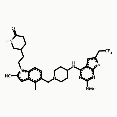 CNc1nc(NC2CCN(Cc3ccc4c(cc(C#N)n4CCC4CCC(=O)NC4)c3C)CC2)c2cc(CC(F)(F)F)sc2n1